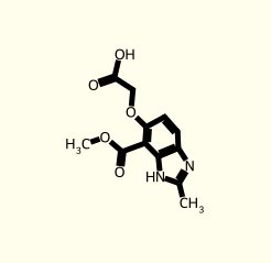 COC(=O)c1c(OCC(=O)O)ccc2nc(C)[nH]c12